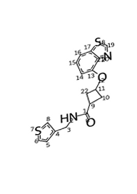 O=C(NCc1ccsc1)C1CC(Oc2cccc3scnc23)C1